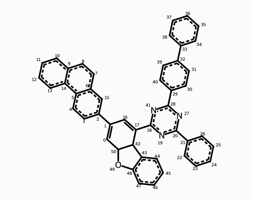 C1=C(c2ccc3c(ccc4ccccc43)c2)C=C(c2nc(-c3ccccc3)nc(-c3ccc(-c4ccccc4)cc3)n2)C2c3ccccc3OC12